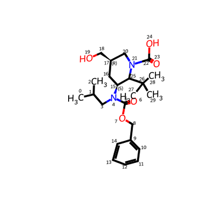 CC(C)CN(C(=O)OCc1ccccc1)[C@H]1C[C@@H](CO)CN(C(=O)O)C1C(C)(C)C